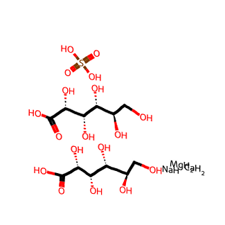 O=C(O)[C@H](O)[C@@H](O)[C@H](O)[C@H](O)CO.O=C(O)[C@H](O)[C@@H](O)[C@H](O)[C@H](O)CO.O=S(=O)(O)O.[CaH2].[MgH2].[NaH]